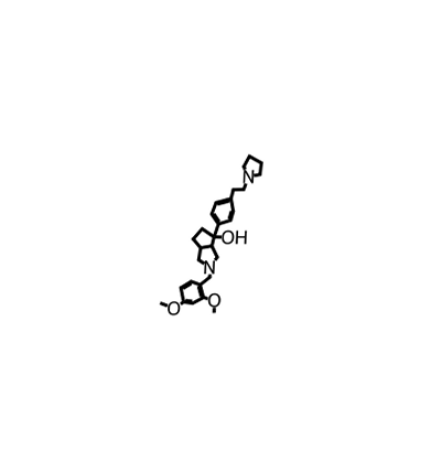 COc1ccc(CN2CC3CCC(O)(c4ccc(CCN5CCCC5)cc4)C3C2)c(OC)c1